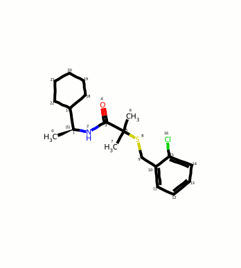 C[C@H](NC(=O)C(C)(C)SCc1ccccc1Cl)C1CCCCC1